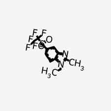 CCn1c(C)nc2cc(S(=O)(=O)C(F)(F)C(F)(F)F)ccc21